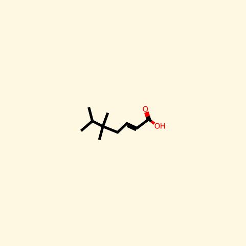 CC(C)C(C)(C)CC=CC(=O)O